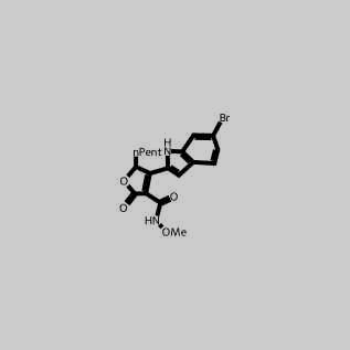 CCCCCC1OC(=O)C(C(=O)NOC)=C1c1cc2ccc(Br)cc2[nH]1